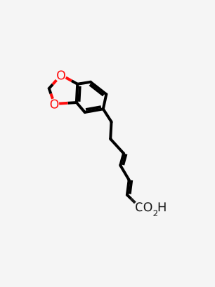 O=C(O)C=CC=CCCc1ccc2c(c1)OCO2